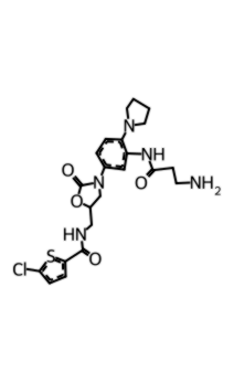 NCCC(=O)Nc1cc(N2CC(CNC(=O)c3ccc(Cl)s3)OC2=O)ccc1N1CCCC1